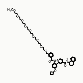 COCCOCCOCCOCCOCCOCCOCCOCCOCc1cccc(C(=O)Nc2ccc(OC3CCC3)cc2-c2cc(C(=O)NC3CCCc4ccccc43)ccn2)c1